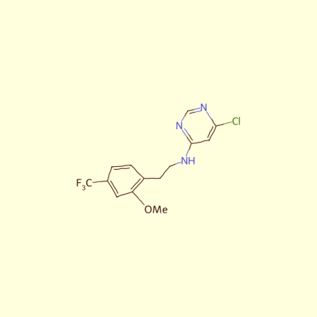 COc1cc(C(F)(F)F)ccc1CCNc1cc(Cl)ncn1